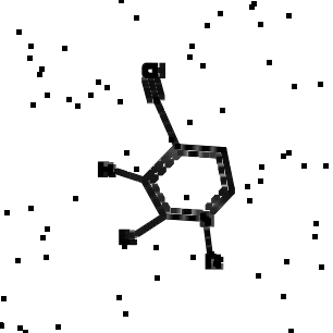 C#Cc1cc[si](CC)c(CC)c1CC